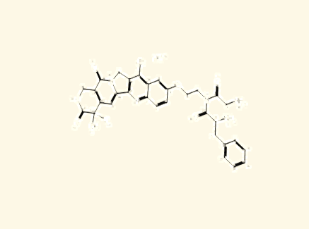 CCc1c2c(nc3ccc(OCCN(C(=O)CN)C(=O)[C@@H](N)Cc4ccccc4)cc13)-c1cc3c(c(=O)n1C2)COC(=O)[C@]3(O)CC.Cl